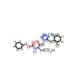 O=C(O)CC(NC(=O)OCc1ccccc1)C(=O)Cn1nnnc1Cc1c(Cl)cccc1Cl